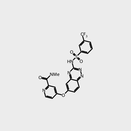 CNC(=O)c1cc(Oc2ccc3nnc(NS(=O)(=O)c4cccc(C(F)(F)F)c4)nc3c2)ccn1